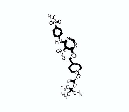 CC(C)(C)OC(=O)ON1CCC(COc2ncnc(Nc3ccc(S(C)(=O)=O)cc3)c2[N+](=O)[O-])CC1